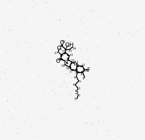 CCSCCCCc1c(C)c(F)cc2nc3c(cc12)Cn1c-3cc2c(c1=O)COC(=O)[C@]2(O)CC